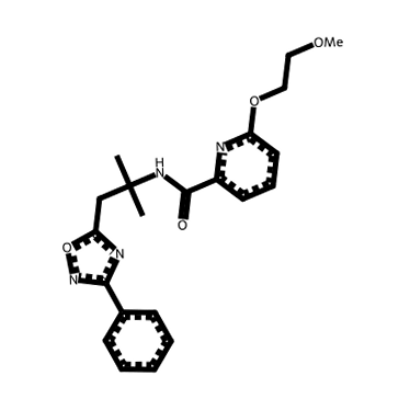 COCCOc1cccc(C(=O)NC(C)(C)Cc2nc(-c3ccccc3)no2)n1